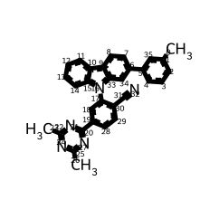 Cc1cccc(-c2ccc3c4ccccc4n(-c4cc(-c5nc(C)nc(C)n5)ccc4C#N)c3c2)c1